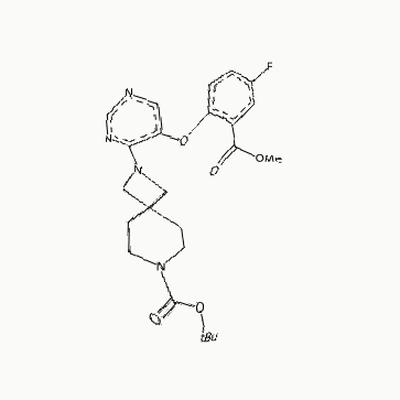 COC(=O)c1cc(F)ccc1Oc1cncnc1N1CC2(CCN(C(=O)OC(C)(C)C)CC2)C1